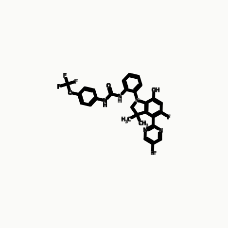 CC1(C)CN(c2ccccc2NC(=O)Nc2ccc(OC(F)(F)F)cc2)c2c(O)cc(F)c(-c3ncc(Br)cn3)c21